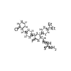 CCC(CC)N1CCN(c2cc(N3CCN(Cc4ccccc4Cl)CC3)c(F)cc2/C=N/NC(N)=S)CC1